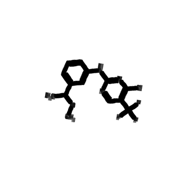 COC(C)c1cccc(Nc2ncc(C(F)(F)F)c(Cl)n2)c1